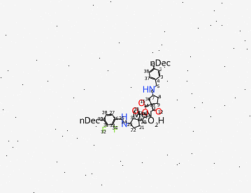 CCCCCCCCCCc1ccc(CNC2CCC(C(=O)NC)(C(=O)OC(=O)C3(C(=O)O)CCC(NCc4ccc(CCCCCCCCCC)c(F)c4F)C3)C2)cc1